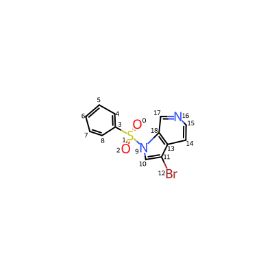 O=S(=O)(c1ccccc1)n1cc(Br)c2ccncc21